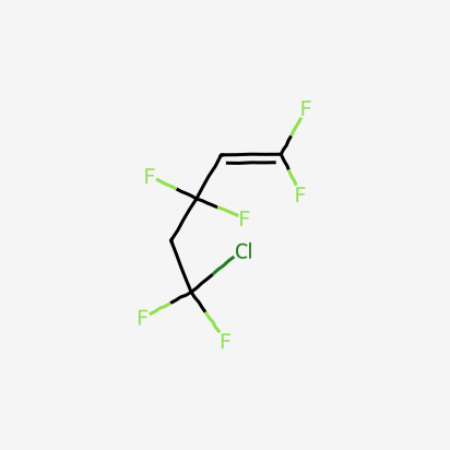 FC(F)=CC(F)(F)CC(F)(F)Cl